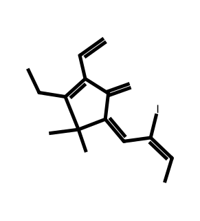 C=CC1=C(CC)C(C)(C)/C(=C/C(I)=C\C)C1=C